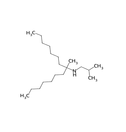 CCCCCCCC(C)(CCCCCCC)NCC(C)C